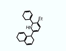 CCC1=CC=C(C2CC=CC3=C2C=CCC3)NC1C1=CC=CCC1